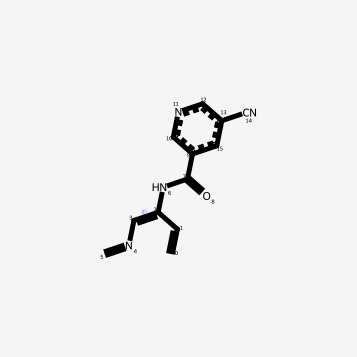 C=C/C(=C\N=C)NC(=O)c1cncc(C#N)c1